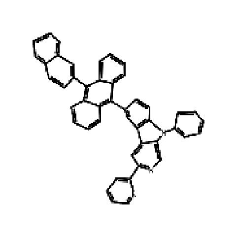 c1ccc(-n2c3ccc(-c4c5ccccc5c(-c5ccc6ccccc6c5)c5ccccc45)cc3c3cc(-c4ccccn4)ncc32)cc1